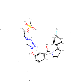 CC(CN1CN(Oc2cccc(C(=O)N3CCC[C@@H]3c3ccc(F)cc3)c2)N=N1)OS(C)(=O)=O